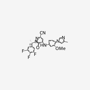 COc1cc(Nc2cc(C#N)nn([C@@H](C)c3cc(F)c(F)c(F)c3)c2=O)ccc1-n1cnc(C)c1